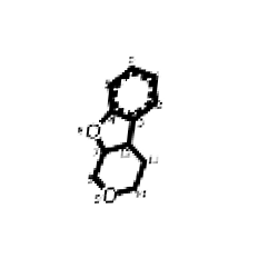 c1ccc2c(c1)OC1COCCC21